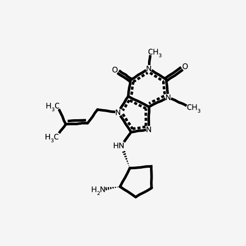 CC(C)=CCn1c(N[C@@H]2CCC[C@@H]2N)nc2c1c(=O)n(C)c(=O)n2C